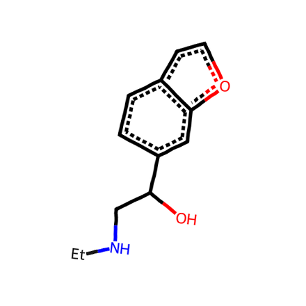 CCNCC(O)c1ccc2ccoc2c1